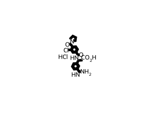 Cl.N=C(N)c1cccc(C(CC(=O)O)NC(=O)c2ccc(C(=O)N3CCCC3)c(Cl)c2)c1